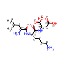 CC(C)C[C@H](N)C(=O)N[C@@H](CCCCN)C(=O)N[C@@H](CC(=O)O)C(=O)O